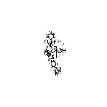 CO[C@@H](C(=O)N1CCC(CC(=O)NO)(c2ccc(-c3ccc(-c4cnco4)cc3)s2)S(=O)(=O)CC1)c1ccccc1